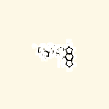 C[C@H]1Cn2ncc([S@@](N)(=O)=NC(=O)Nc3c4c(cc5c3C[C@@H](F)C5)CCC4)c2O1